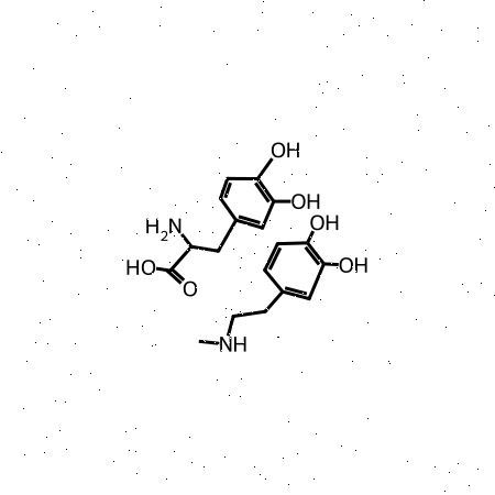 CNCCc1ccc(O)c(O)c1.NC(Cc1ccc(O)c(O)c1)C(=O)O